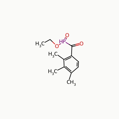 CCO[PH](=O)C(=O)c1ccc(C)c(C)c1C